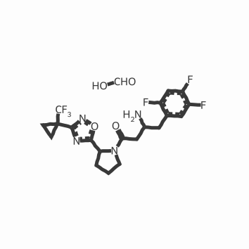 NC(CC(=O)N1CCCC1c1nc(C2(C(F)(F)F)CC2)no1)Cc1cc(F)c(F)cc1F.O=CO